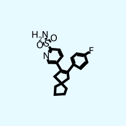 NS(=O)(=O)c1ccc(C2=C(c3ccc(F)cc3)CC3(CCCC3)C2)cn1